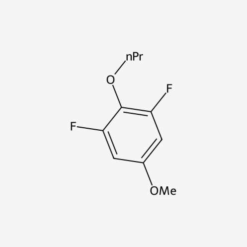 CCCOc1c(F)cc(OC)cc1F